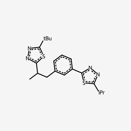 CC(C)c1nnc(-c2cccc(CC(C)c3nnc(C(C)(C)C)s3)c2)s1